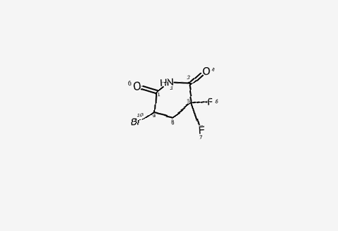 O=C1NC(=O)C(F)(F)CC1Br